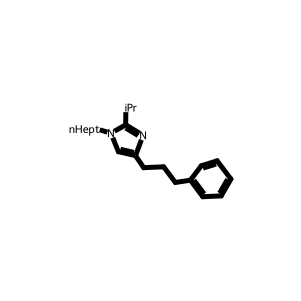 CCCCCCCn1cc(CCCc2ccccc2)nc1C(C)C